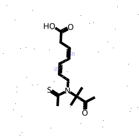 CC(=O)C(C)(C)N(C/C=C\C=C/CC(=O)O)C(C)=S